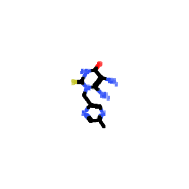 Cc1cnc(Cn2c(N)c(N)c(=O)[nH]c2=S)cn1